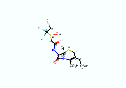 COCC1=C(C(=O)O)N2C(=O)C(NC(=O)C[S+]([O-])C(F)(F)CF)[C@H]2SC1